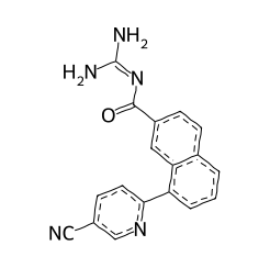 N#Cc1ccc(-c2cccc3ccc(C(=O)N=C(N)N)cc23)nc1